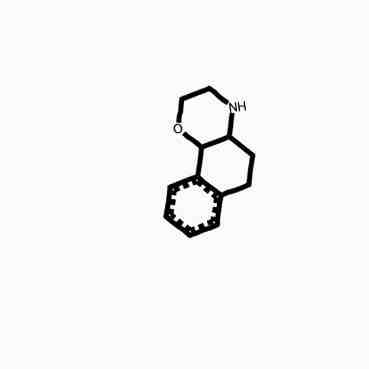 c1ccc2c(c1)CCC1NCCOC21